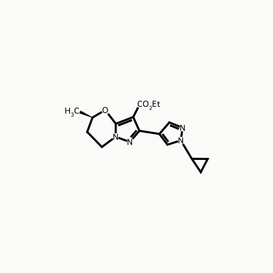 CCOC(=O)c1c(-c2cnn(C3CC3)c2)nn2c1O[C@H](C)CC2